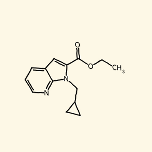 CCOC(=O)c1cc2cccnc2n1CC1CC1